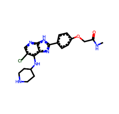 CNC(=O)COc1ccc(-c2nc3c(NC4CCNCC4)c(Cl)cnc3[nH]2)cc1